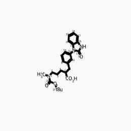 CN(CCCC(Cc1cccc(-n2c(=O)[nH]c3ccccc32)c1)C(=O)O)C(=O)OC(C)(C)C